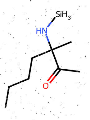 CCCCC(C)(N[SiH3])C(C)=O